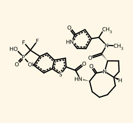 CC(c1cc[nH]c(=O)c1)N(C)C(=O)[C@@H]1CC[C@@H]2CCCC[C@H](NC(=O)c3cc4cc(C(F)(F)P(=O)(O)O)ccc4s3)C(=O)N21